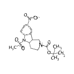 CC(C)(C)OC(=O)N1CCC2C(C1)c1cc([N+](=O)[O-])ccc1N2S(C)(=O)=O